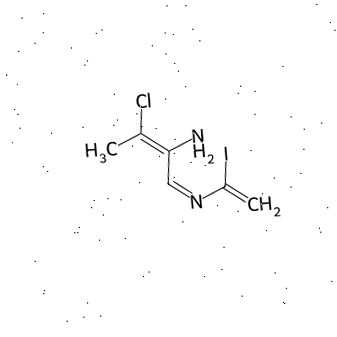 C=C(I)/N=C\C(N)=C(/C)Cl